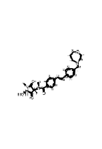 CNC(=O)[C@@](C)(C(=O)NO)N(C)C(=O)c1ccc(C=Cc2ccc(CN3CCCOCC3)cc2)cc1